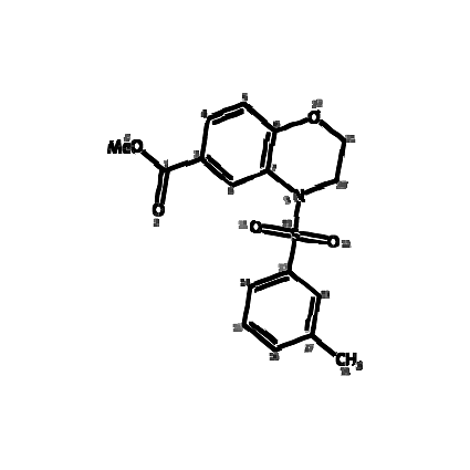 COC(=O)c1ccc2c(c1)N(S(=O)(=O)c1cccc(C)c1)CCO2